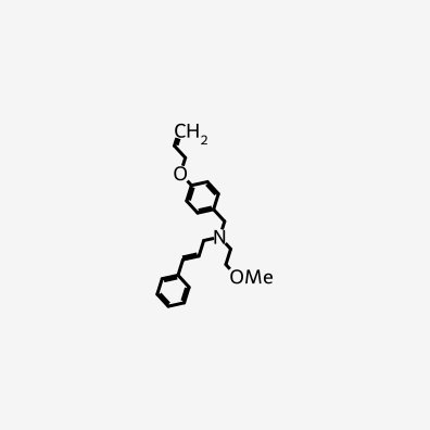 C=CCOc1ccc(CN(C/C=C/c2ccccc2)CCOC)cc1